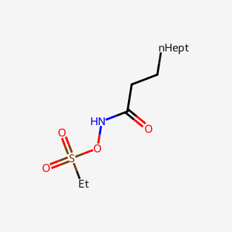 CCCCCCCCCC(=O)NOS(=O)(=O)CC